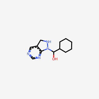 OC(C1CCCCC1)N1NCc2cncnc21